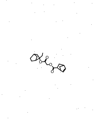 CCC1(OC(=O)COC(=O)C2CC3C=CC2C3)CC2CCC1C2